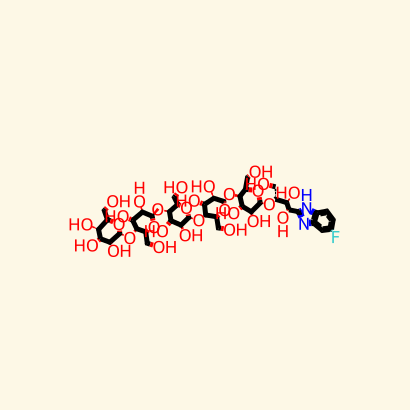 OCC1O[C@H](O[C@@H]2C(CO)O[C@H](O[C@@H]3C(CO)O[C@H](O[C@@H]4C(CO)O[C@H](O[C@H]5C(CO)O[C@H](O[C@H](CO)[C@H](O)C(O)c6nc7cc(F)ccc7[nH]6)[C@@H](O)C5O)[C@@H](O)C4O)[C@@H](O)C3O)[C@@H](O)C2O)[C@@H](O)C(O)[C@@H]1O